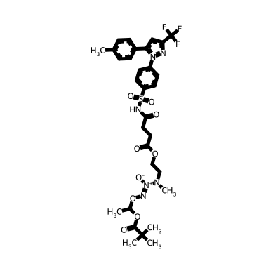 Cc1ccc(-c2cc(C(F)(F)F)nn2-c2ccc(S(=O)(=O)NC(=O)CCC(=O)OCCN(C)/[N+]([O-])=N/OC(C)OC(=O)C(C)(C)C)cc2)cc1